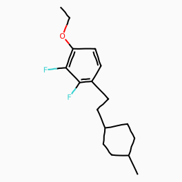 CCOc1ccc(CCC2CCC(C)CC2)c(F)c1F